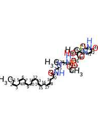 CC/C=C\C/C=C\C/C=C\C/C=C\C/C=C\C/C=C\CCC(=O)NCCN(C)CCNP(=O)(OC)OC[C@H]1O[C@@H](n2ccc(=O)[nH]c2=O)[C@](C)(F)[C@@H]1O